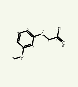 COc1cccc(SCC(=O)Cl)c1